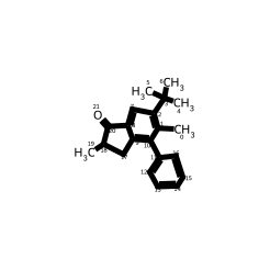 Cc1c(C(C)(C)C)cc2c(c1-c1ccccc1)CC(C)C2=O